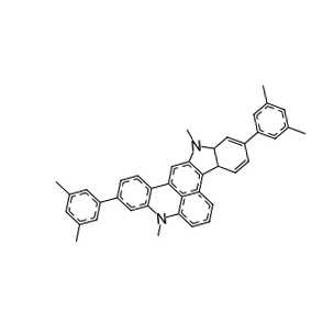 Cc1cc(C)cc(C2=CC3C(C=C2)c2c(cc4c5c(cccc25)N(C)c2cc(-c5cc(C)cc(C)c5)ccc2-4)N3C)c1